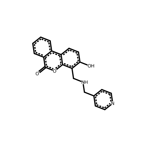 O=c1oc2c(CNCc3ccncc3)c(O)ccc2c2ccccc12